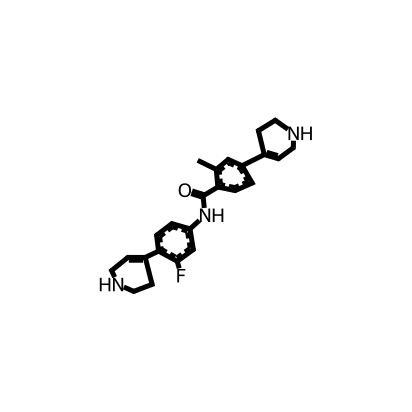 Cc1cc(C2=CCNCC2)ccc1C(=O)Nc1ccc(C2=CCNCC2)c(F)c1